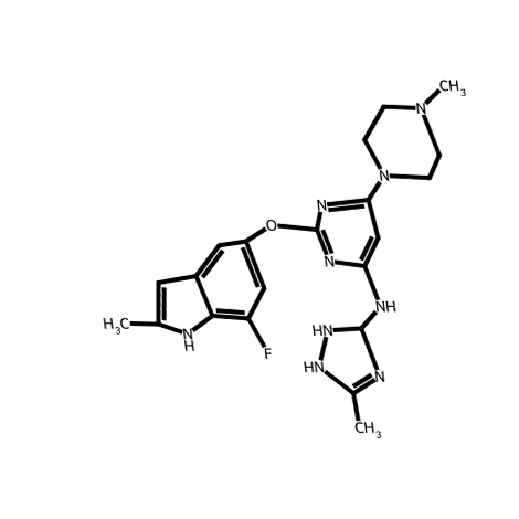 CC1=NC(Nc2cc(N3CCN(C)CC3)nc(Oc3cc(F)c4[nH]c(C)cc4c3)n2)NN1